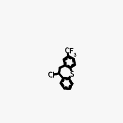 FC(F)(F)c1ccc2c(c1)CC(Cl)c1ccccc1S2